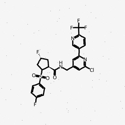 O=C(NCc1cc(Cl)nc(-c2ccc(C(F)(F)F)nc2)c1)[C@@H]1C[C@@H](F)CC1S(=O)(=O)c1ccc(F)cc1